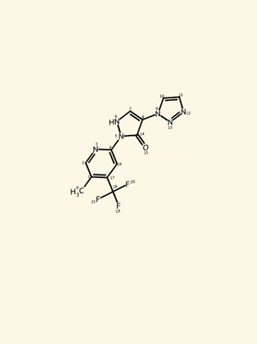 Cc1cnc(-n2[nH]cc(-n3ccnn3)c2=O)cc1C(F)(F)F